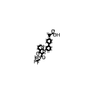 O=C(NCC(F)(F)F)c1cn(-c2cccc(-c3ccc([C@@H]4C[C@H]4C(=O)O)cc3)c2)c2ncccc2c1=O